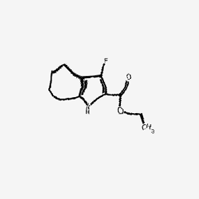 CCOC(=O)c1[nH]c2c(c1F)CCCC2